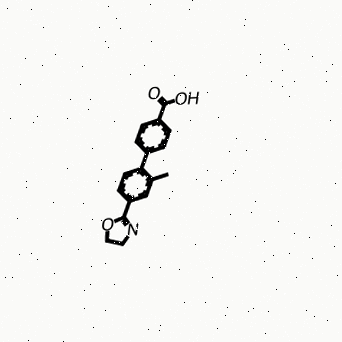 Cc1cc(C2=NCCO2)ccc1-c1ccc(C(=O)O)cc1